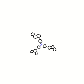 c1ccc2c(c1)ccc1cc(-c3ccc(N(c4ccc(-c5cccc6c5ccc5ccccc56)cc4)c4ccc(-c5cc6ccccc6c6ccccc56)cc4)cc3)ccc12